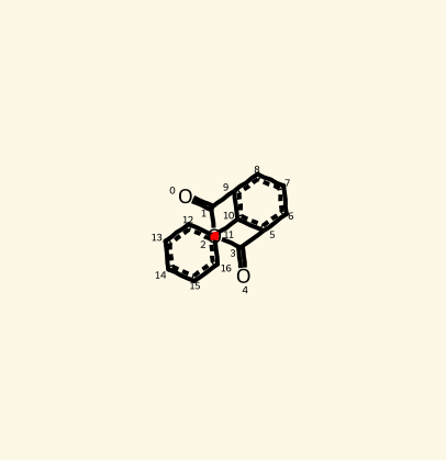 O=C1OC(=O)c2cccc1c2-c1ccccc1